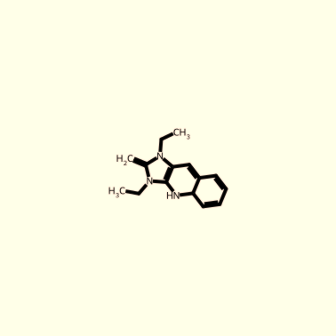 C=C1N(CC)C2=C(NC3C=CC=CC3=C2)N1CC